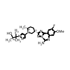 COc1cc2nc(N)n3nc([C@H]4CC[C@@H](C)N(c5cnn(C(C)(C)[C@@H](C)O)c5)C4)nc3c2cc1F